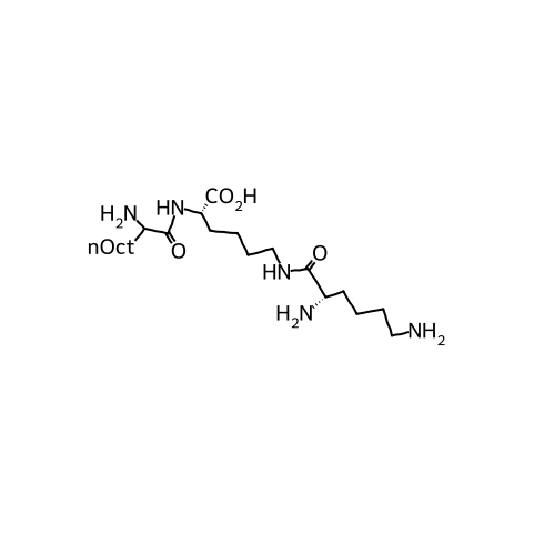 CCCCCCCCC(N)C(=O)N[C@@H](CCCCNC(=O)[C@@H](N)CCCCN)C(=O)O